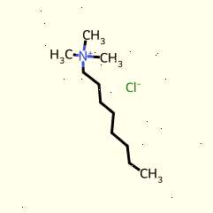 CCCCCCCC[N+](C)(C)C.[Cl-]